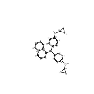 c1ccc2c(N(c3ccc(OC4CS4)cc3)c3ccc(OC4CS4)cc3)cccc2c1